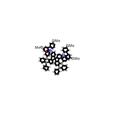 COc1ccc2c(c1)c1cc(OC)ccc1n2-c1ccc2c(c1)-c1c(ccc3c1B(c1ccccc1)c1ccccc1B3c1ccccc1)C21c2ccc(-n3c4ccc(OC)cc4c4cc(OC)ccc43)cc2-c2c1ccc1c2B(c2ccccc2)c2ccccc2B1c1ccccc1